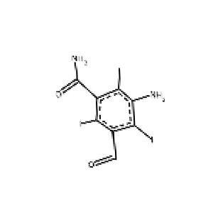 NC(=O)c1c(I)c(N)c(I)c(C=O)c1I